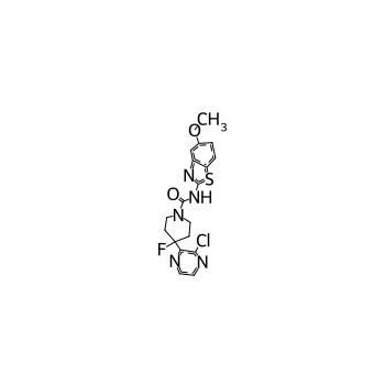 COc1ccc2sc(NC(=O)N3CCC(F)(c4nccnc4Cl)CC3)nc2c1